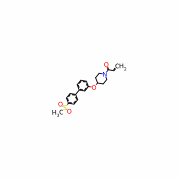 C=CC(=O)N1CCC(Oc2cccc(-c3ccc(S(C)(=O)=O)cc3)c2)CC1